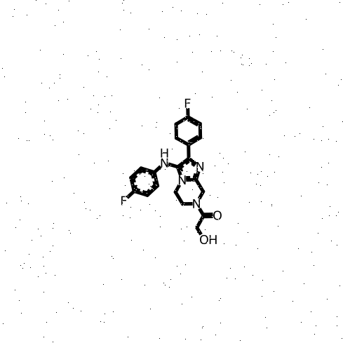 O=C(CO)N1CCn2c(nc(C3=CC=C(F)CC3)c2Nc2ccc(F)cc2)C1